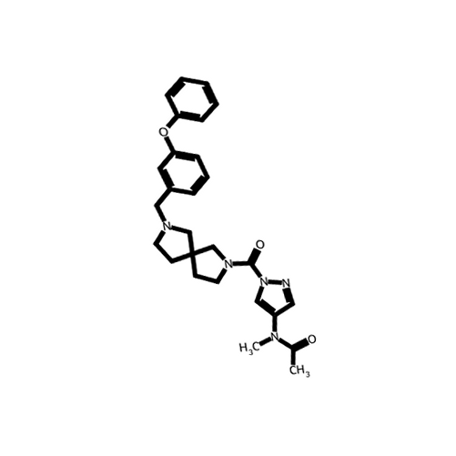 CC(=O)N(C)c1cnn(C(=O)N2CCC3(CCN(Cc4cccc(Oc5ccccc5)c4)C3)C2)c1